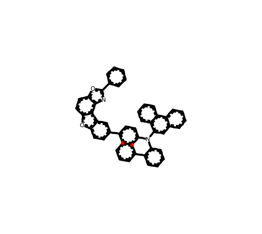 c1ccc(-c2nc3c(ccc4oc5ccc(-c6ccc(N(c7ccccc7-c7ccccc7)c7cc8ccccc8c8ccccc78)cc6)cc5c43)o2)cc1